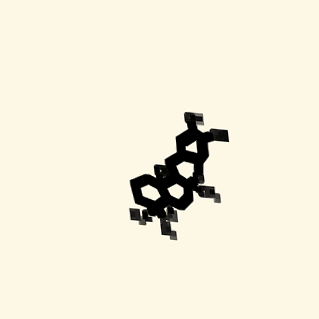 CC1(C)CCC[C@]2(C)C3Cc4cc(O)c(O)cc4O[C@@]3(C)CC[C@@H]12